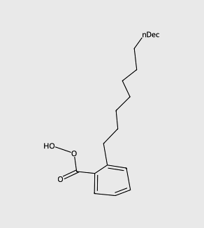 CCCCCCCCCCCCCCCCCc1ccccc1C(=O)OO